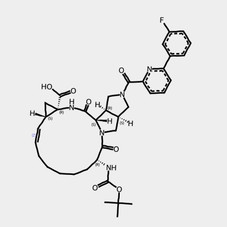 CC(C)(C)OC(=O)N[C@@H]1CCCCC/C=C\[C@@H]2C[C@@]2(C(=O)O)NC(=O)[C@@H]2[C@H]3CN(C(=O)c4cccc(-c5cccc(F)c5)n4)C[C@H]3CN2C1=O